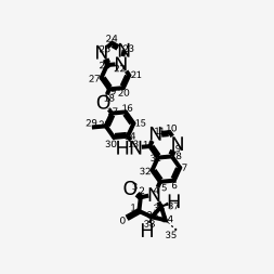 C=C1C(=O)N(c2ccc3ncnc(Nc4ccc(Oc5ccn6ncnc6c5)c(C)c4)c3c2)[C@@H]2[C@H](C)[C@H]12